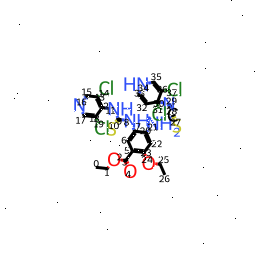 CCOC(=O)c1cc(NC(=S)Nc2c(Cl)cncc2Cl)c(N)cc1OCC.S=C=NC1(Cl)C=CNC=C1Cl